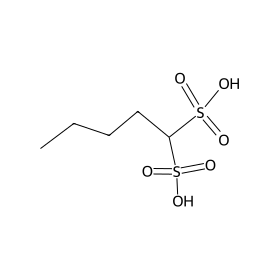 CCCCC(S(=O)(=O)O)S(=O)(=O)O